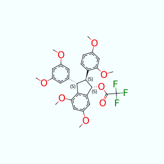 COc1cc(OC)cc([C@H]2c3c(OC)cc(OC)cc3[C@@H](OC(=O)C(F)(F)F)[C@@H]2c2ccc(OC)cc2OC)c1